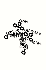 COc1ccc(C(OC[C@H]2O[C@@H](n3nnc4c(NC(=O)c5ccccc5)ncnc43)[C@@H](F)[C@@H]2O[PH](=O)O[C@H]2[C@H](F)[C@H](n3nnc4c(NC(=O)c5ccccc5)ncnc43)O[C@@H]2COC(c2ccccc2)(c2ccc(OC)cc2)c2ccc(OC)cc2)(c2ccccc2)c2ccc(OC)cc2)cc1